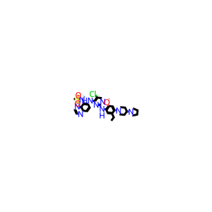 CCc1cc(Nc2ncc(Cl)c(Nc3ccc4nccnc4c3N(C)S(C)(=O)=O)n2)c(OC)cc1N1CCC(N2CCCC2)CC1